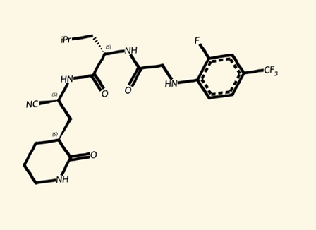 CC(C)C[C@H](NC(=O)CNc1ccc(C(F)(F)F)cc1F)C(=O)N[C@H](C#N)C[C@@H]1CCCNC1=O